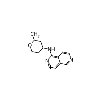 CC1CC(Nc2nncc3cnccc23)CCO1